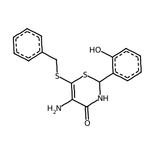 NC1=C(SCc2ccccc2)SC(c2ccccc2O)NC1=O